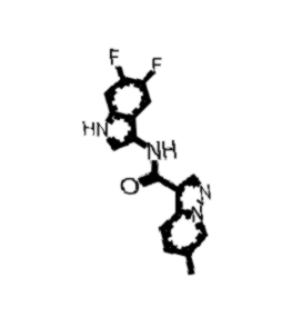 Cc1ccc2c(C(=O)Nc3c[nH]c4cc(F)c(F)cc34)cnn2c1